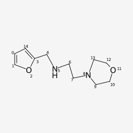 c1coc(CNCCN2CCOCC2)c1